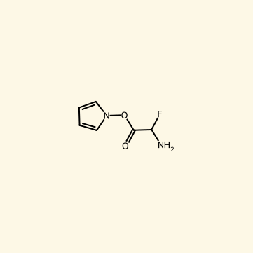 NC(F)C(=O)On1cccc1